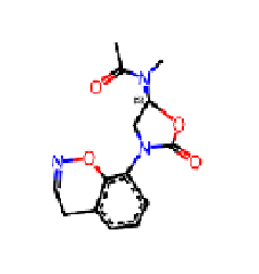 CC(=O)N(C)[C@@H]1CN(c2cccc3c2ON=CC3)C(=O)O1